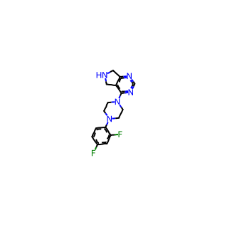 Fc1ccc(N2CCN(c3ncnc4c3CNC4)CC2)c(F)c1